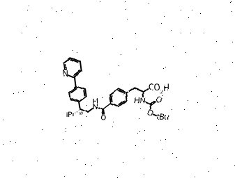 CC(C)[C@@H](CNC(=O)c1ccc(CC(NC(=O)OC(C)(C)C)C(=O)O)cc1)c1ccc(-c2ccccn2)cc1